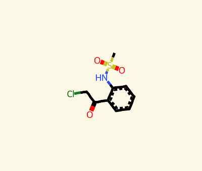 CS(=O)(=O)Nc1ccccc1C(=O)CCl